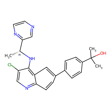 C[C@@H](Nc1c(Cl)cnc2ccc(-c3ccc(C(C)(C)O)cc3)cc12)c1cnccn1